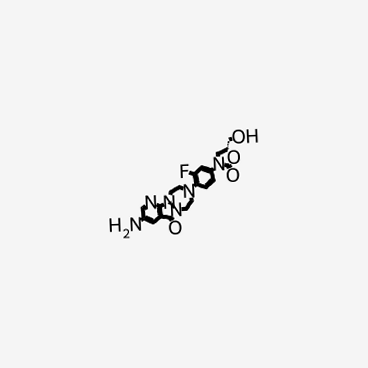 Nc1cnc2c(c1)c(=O)n1n2CCN(c2ccc(N3C[C@H](CO)OC3=O)cc2F)CC1